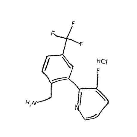 Cl.NCc1ccc(C(F)(F)F)cc1-c1ncccc1F